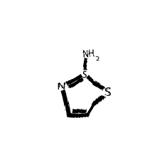 NS1=NC=CS1